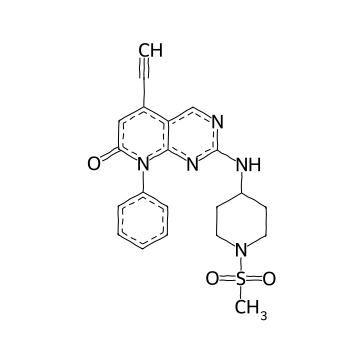 C#Cc1cc(=O)n(-c2ccccc2)c2nc(NC3CCN(S(C)(=O)=O)CC3)ncc12